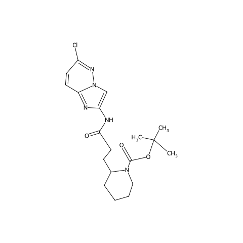 CC(C)(C)OC(=O)N1CCCCC1CCC(=O)Nc1cn2nc(Cl)ccc2n1